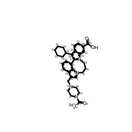 CC(=O)N1CCN(Cc2cn3c4c(cccc24)-c2c(C4CCCCC4)c4ccc(C(=O)O)cc4n2CCC3)CC1